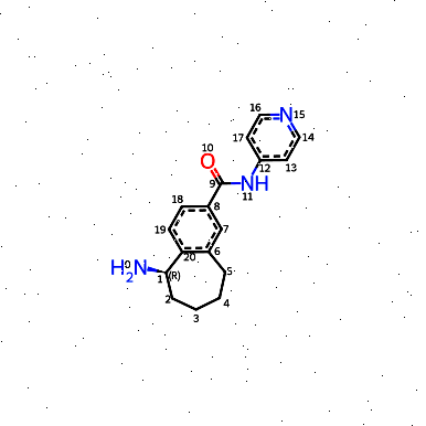 N[C@@H]1CCCCc2cc(C(=O)Nc3ccncc3)ccc21